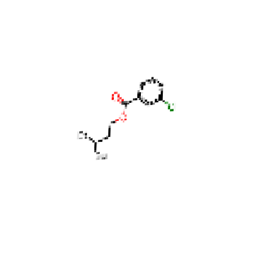 CCC(C)C(CC)CCOC(=O)c1[c]ccc(Cl)c1